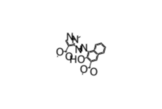 COC(=O)c1cc2ccccc2c(/N=N/c2c(C(=O)OC)cnn2C)c1O